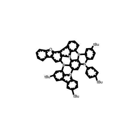 CC(C)(C)c1ccc(N2c3ccc(C(C)(C)C)cc3B3c4c2cc2c5c4-n4c6c3cccc6c3c6oc7ccccc7c6cc(c34)B5c3cc(C(C)(C)C)cc4c5cc(C(C)(C)C)ccc5n-2c34)cc1